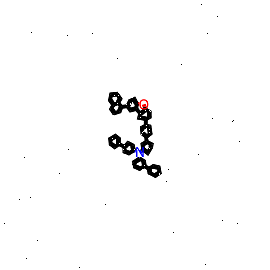 c1ccc(-c2ccc(N(c3cccc(-c4ccccc4)c3)c3cccc(-c4ccc(-c5ccc6oc7ccc(-c8cccc9ccccc89)cc7c6c5)cc4)c3)cc2)cc1